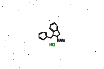 CNC1Cc2ccccc2C1Cc1ccccc1.Cl